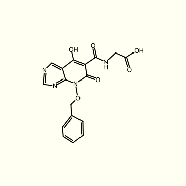 O=C(O)CNC(=O)c1c(O)c2cncnc2n(OCc2ccccc2)c1=O